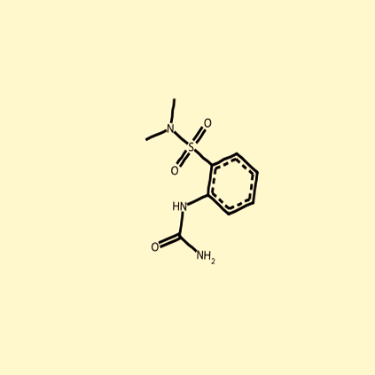 CN(C)S(=O)(=O)c1ccccc1NC(N)=O